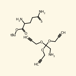 C#CCOC(CN)(OCC#C)OCC#C.CC(C)(C)OC(=O)C(N)CCC(N)=S